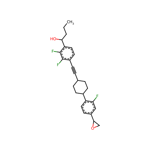 CCCC(O)c1ccc(C#CC2CCC(c3ccc(C4CO4)cc3F)CC2)c(F)c1F